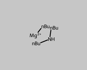 CCCCNCCCC.CCC[CH2][Mg+2]